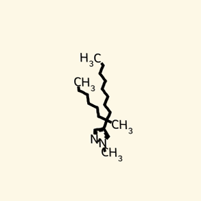 CCCCCCCCC(C)(CCCCCC)c1cnn(C)c1